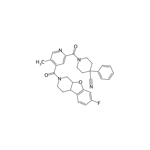 Cc1cnc(C(=O)N2CCC(C#N)(c3ccccc3)CC2)cc1C(=O)N1CCC2c3ccc(F)cc3OC2C1